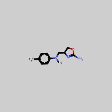 CC(C)N(CC1COC(N)=N1)c1ccc(C(F)(F)F)cc1